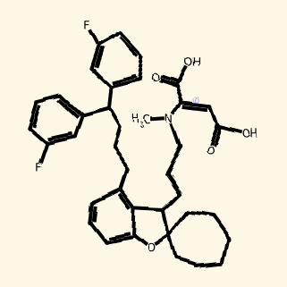 CN(CCCC1c2c(CCCC(c3cccc(F)c3)c3cccc(F)c3)cccc2OC12CCCCCC2)/C(=C\C(=O)O)C(=O)O